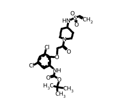 C=CS(=O)(=O)NC1CCN(C(=O)COc2c(Cl)cc(Cl)cc2NC(=O)OC(C)(C)C)CC1